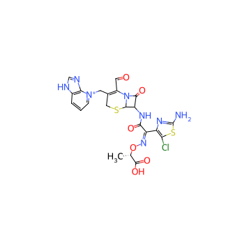 C[C@H](O/N=C(\C(=O)NC1C(=O)N2C(C=O)=C(C[n+]3cccc4[nH]cnc43)CSC12)c1nc(N)sc1Cl)C(=O)O